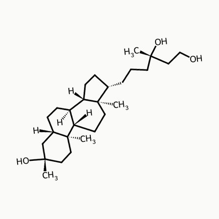 C[C@@](O)(CCO)CCC[C@H]1CC[C@H]2[C@@H]3CC[C@H]4C[C@@](C)(O)CC[C@]4(C)[C@H]3CC[C@]12C